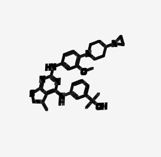 COc1cc(Nc2nc(Nc3cccc(C(C)(C)O)c3)c3c(C)csc3n2)ccc1N1CCC(N2CC2)CC1